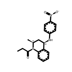 CCC(=O)N1c2ccccc2[C@H](Nc2ccc([N+](=O)[O-])cc2)C[C@@H]1C